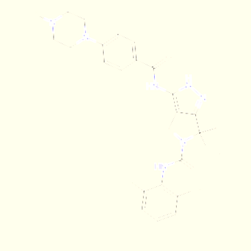 CN1CCN(c2ccc(C(=O)Nc3[nH]nc4c3CN(C(=O)Nc3c(F)cccc3C(F)(F)F)C4(C)C)cc2)CC1